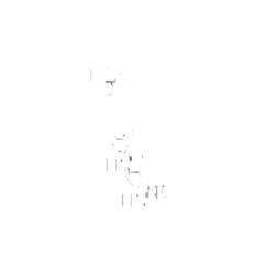 CC(=O)OCCCCC1COc2cc(C(=O)Nc3ccc(C(=N)N4CCOCC4)cc3)ccc2C1